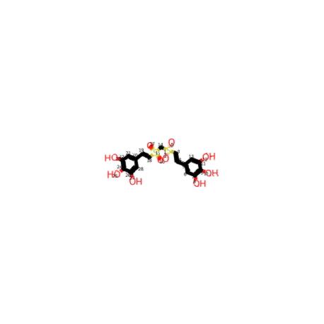 O=S(=O)(/C=C/c1cc(O)c(O)c(O)c1)CS(=O)(=O)/C=C/c1cc(O)c(O)c(O)c1